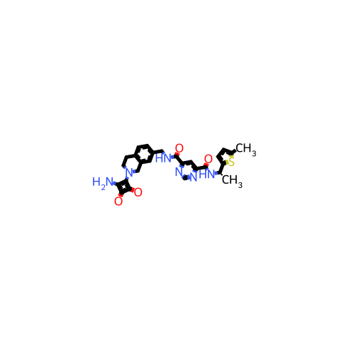 Cc1ccc([C@H](C)NC(=O)c2cc(C(=O)NCc3ccc4c(c3)CN(c3c(N)c(=O)c3=O)CC4)ncn2)s1